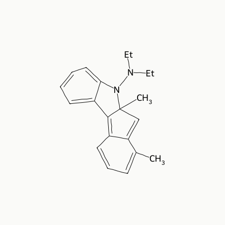 CCN(CC)N1c2ccccc2C2=c3cccc(C)c3=CC21C